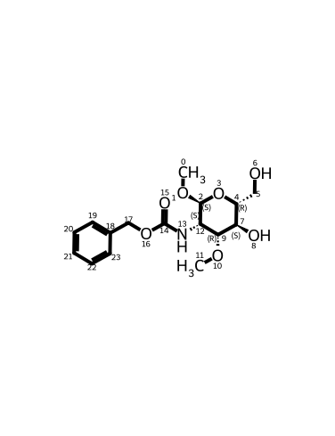 CO[C@H]1O[C@H](CO)[C@@H](O)[C@H](OC)[C@@H]1NC(=O)OCc1ccccc1